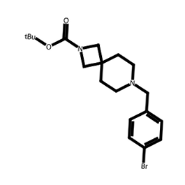 CC(C)(C)OC(=O)N1CC2(CCN(Cc3ccc(Br)cc3)CC2)C1